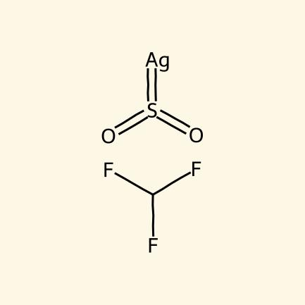 FC(F)F.O=[S](=O)=[Ag]